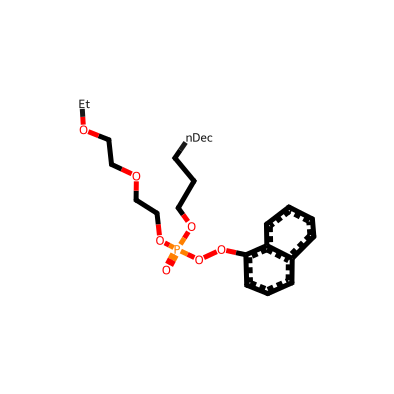 CCCCCCCCCCCCCOP(=O)(OCCOCCOCC)OOc1cccc2ccccc12